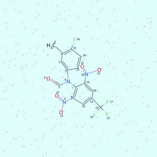 Cc1cc(N(C=O)c2c([N+](=O)[O-])cc(C(F)(F)F)cc2[N+](=O)[O-])ccc1F